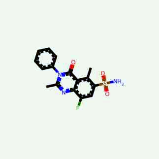 Cc1c(S(N)(=O)=O)cc(F)c2nc(C)n(-c3ccccc3)c(=O)c12